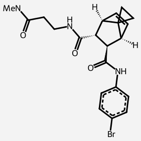 CNC(=O)CCNC(=O)[C@H]1[C@H](C(=O)Nc2ccc(Br)cc2)[C@@H]2C=C[C@H]1C21CC1